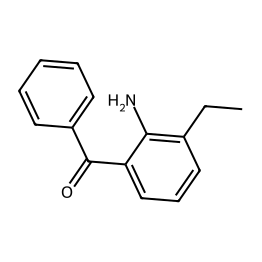 CCc1cccc(C(=O)c2ccccc2)c1N